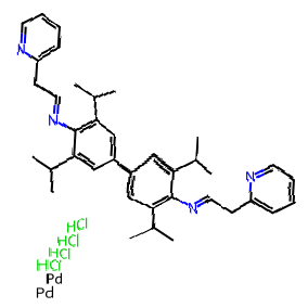 CC(C)c1cc(-c2cc(C(C)C)c(N=CCc3ccccn3)c(C(C)C)c2)cc(C(C)C)c1N=CCc1ccccn1.Cl.Cl.Cl.Cl.[Pd].[Pd]